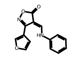 O=C1ON=C(c2ccoc2)C1=CNc1ccccc1